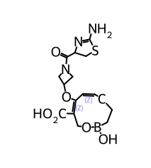 NC1=NC(C(=O)N2CC(OC3=C(\C(=O)O)COB(O)CCC/C=C\3)C2)CS1